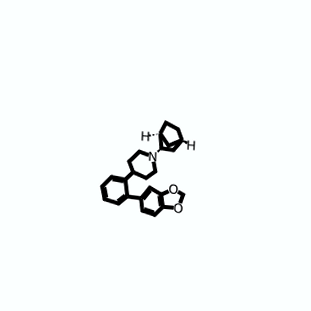 c1ccc(C2CCN([C@H]3C[C@H]4CC[C@H]3C4)CC2)c(-c2ccc3c(c2)OCO3)c1